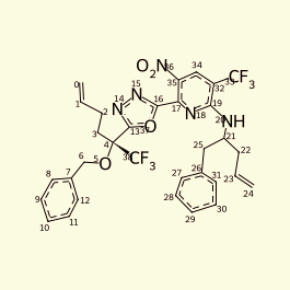 C=CCC[C@@](OCc1ccccc1)(c1nnc(-c2nc(NC(CC=C)Cc3ccccc3)c(C(F)(F)F)cc2[N+](=O)[O-])o1)C(F)(F)F